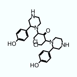 O=C(C(CCl)N1CCNCC1c1ccc(O)cc1)C(CCl)N1CCNCC1c1ccc(O)cc1